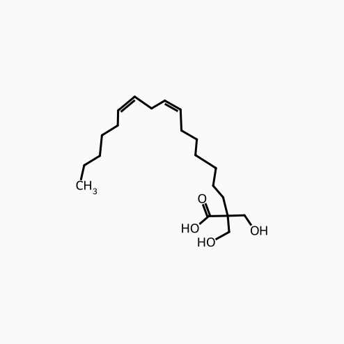 CCCCC/C=C\C/C=C\CCCCCCC(CO)(CO)C(=O)O